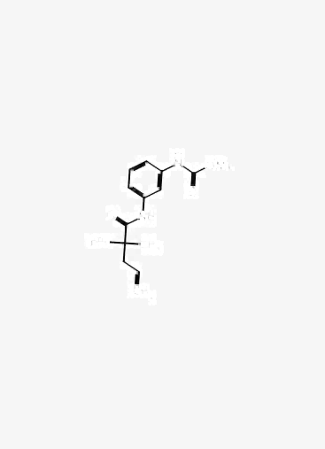 C=CCC(C)(CCC)C(=O)Nc1cccc(NC(=O)OC)c1